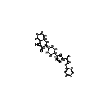 C[C@@H](OCc1ccccc1)c1nnc(C2CCC(N(Cc3ccccc3)C(=O)O)CC2)o1